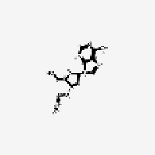 [N-]=[N+]=NO[C@H]1C[C@H](n2cnc3c(O)ncnc32)O[C@@H]1CO